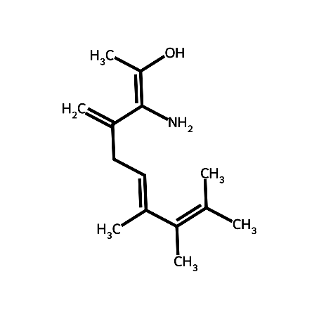 C=C(C/C=C(\C)C(C)=C(C)C)/C(N)=C(\C)O